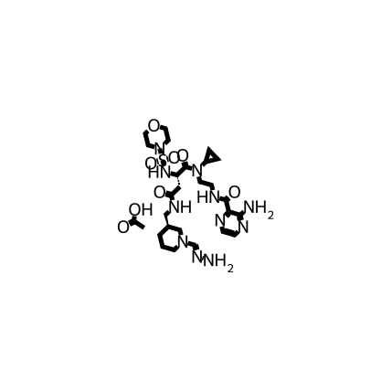 CC(=O)O.NN=CN1CCC[C@@H](CNC(=O)C[C@H](NS(=O)(=O)N2CCOCC2)C(=O)N(CCNC(=O)c2nccnc2N)C2CC2)C1